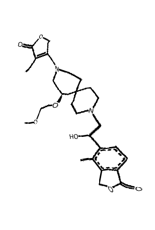 COCO[C@H]1CN(C2=C(C)C(=O)OC2)CCC12CCN(CC(O)c1ccc3c(c1C)COC3=O)CC2